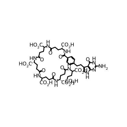 Nc1nc2[nH]cc(CCc3ccc(C(=O)N[C@H](CCC(=O)NC(CCC(=O)N[C@H](CCC(=O)NC(CCC(=O)N[C@H](CCC(=O)NC(CCC(=O)O)C(=O)O)C(=O)O)C(=O)O)C(=O)O)C(=O)O)C(=O)O)cc3)c2c(=O)[nH]1